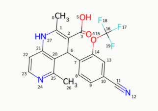 CC1=C(C(=O)O)C(c2ccc(C#N)cc2OC(F)(F)F)c2c(ccnc2C)N1